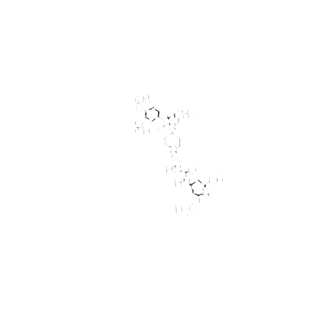 CCc1cc(NC(=O)NCCN2CCC(N(CC)S(=O)(=O)c3ccc(OC)c(OC)c3)CC2)cc(C)n1